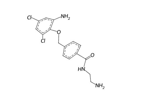 NCCNC(=O)c1ccc(COc2c(N)cc(Cl)cc2Cl)cc1